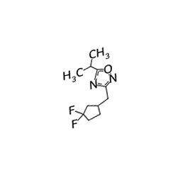 CC(C)c1nc(CC2CCC(F)(F)C2)no1